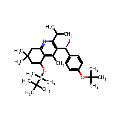 Cc1c2c(nc(C(C)C)c1[C@@H](I)c1ccc(OC(C)(C)C)cc1)CC(C)(C)CC2O[Si](C)(C)C(C)(C)C